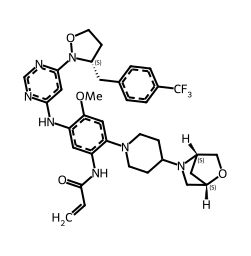 C=CC(=O)Nc1cc(Nc2cc(N3OCC[C@@H]3Cc3ccc(C(F)(F)F)cc3)ncn2)c(OC)cc1N1CCC(N2C[C@@H]3C[C@H]2CO3)CC1